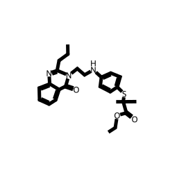 CCCc1nc2ccccc2c(=O)n1CCNc1ccc(SC(C)(C)C(=O)OCC)cc1